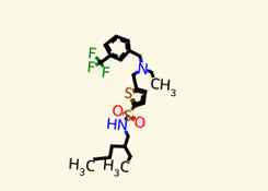 CCCCC(CC)CNS(=O)(=O)c1ccc(CN(CC)Cc2cccc(C(F)(F)F)c2)s1